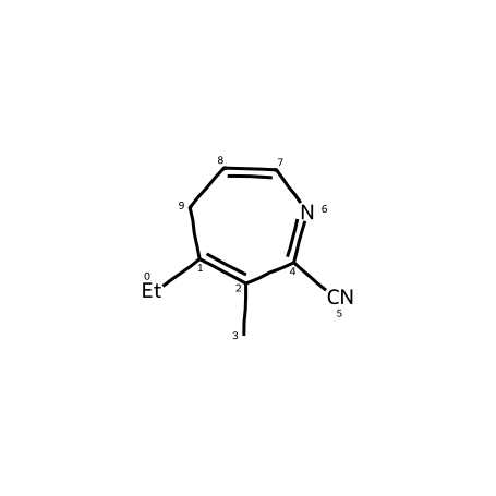 CCC1=C(C)C(C#N)=NC=CC1